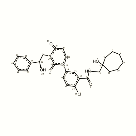 O=C(NCC1(O)CCCCCC1)c1cc(-n2ncc(=O)n(C[C@@H](O)c3ccccc3)c2=O)ccc1Cl